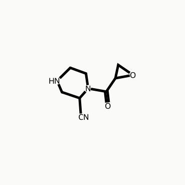 N#CC1CNCCN1C(=O)C1CO1